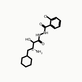 N[C@H](CC1CCCCC1)C(O)C(=O)NNC(=O)c1ccccc1Cl